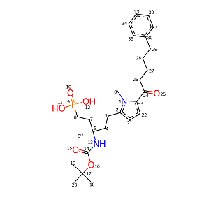 Cn1c(CC[C@](C)(CCP(=O)(O)O)NC(=O)OC(C)(C)C)ccc1C(=O)CCCCc1ccccc1